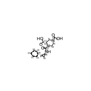 O=C(O)[C@@H]1CN(C(=O)O)CCN1C(=O)N[C@H]1C[C@@H]1c1ccccc1